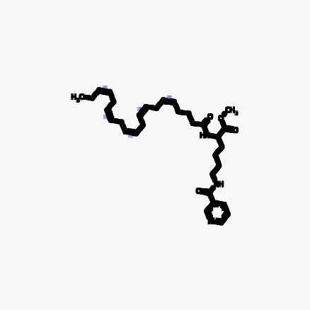 CC/C=C\C/C=C\C/C=C\C/C=C\C/C=C\CCCC(=O)NC(CCCCNC(=O)c1cccnc1)C(=O)OC